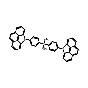 CCCC[Si](CCCC)(c1ccc(-n2c3cccc4ccc5cccc2c5c43)cc1)c1ccc(-n2c3cccc4ccc5cccc2c5c43)cc1